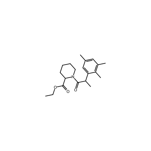 CCOC(=O)C1CCCCN1C(=O)C(C)c1cc(C)cc(C)c1C